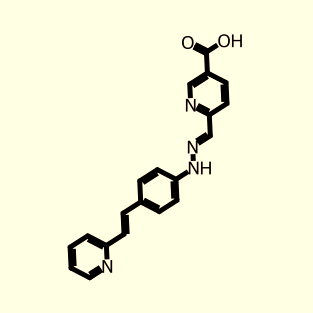 O=C(O)c1ccc(/C=N/Nc2ccc(/C=C/c3ccccn3)cc2)nc1